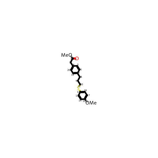 COC(=O)Cc1ccc(CCCSc2ccc(OC)cc2)cc1